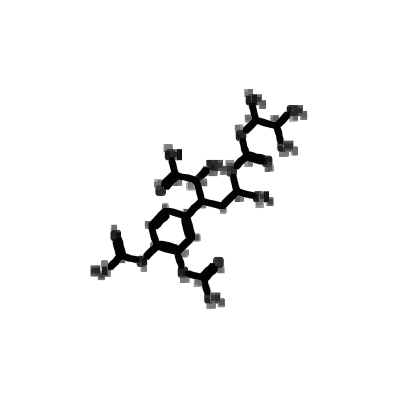 CC(=O)Oc1ccc(C(CC(C)OC(=O)OC(C)C(C)C)[C@H](N)C(=O)O)cc1OC(C)=O